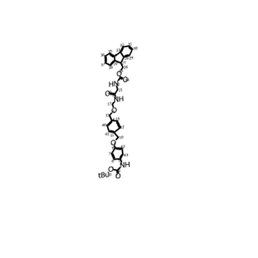 CC(C)(C)OC(=O)Nc1ccc(OCc2ccc(COCNC(=O)CNC(=O)OCC3c4ccccc4-c4ccccc43)cc2)cc1